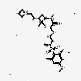 COc1cc(C)c(S(=O)(=O)N(C)CCOCC(=O)N(C)[C@@H]2C[C@H](CCN3CCC3)C2(C)C)c(C)c1